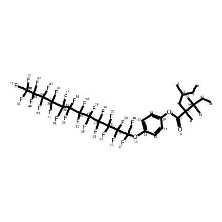 CCC(C)CC(C)(C(=O)Oc1ccc(OC(F)(F)C(F)(F)C(F)(F)C(F)(F)C(F)(F)C(F)(F)C(F)(F)C(F)(F)C(F)(F)C(F)(F)C(F)(F)C(F)(F)F)cc1)C(C)(C)CC